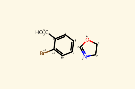 C1=NCCO1.O=C(O)c1ccccc1Br